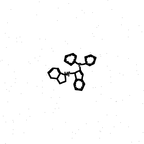 C1=CCC2CC[CH]([Hf][CH]3C(P(c4ccccc4)c4ccccc4)=Cc4ccccc43)C2=C1